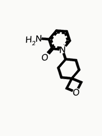 Nc1cccn(C2CCC3(CC2)COC3)c1=O